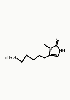 CCCCCCCCCCCCc1c[nH]c(=O)n1C